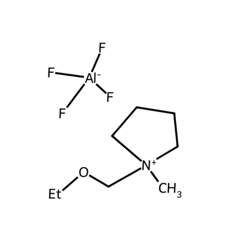 CCOC[N+]1(C)CCCC1.[F][Al-]([F])([F])[F]